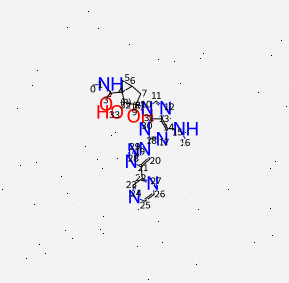 CNC(=O)C12CC1C[C@](O)(n1cnc3c(NC)nc(-n4cc(-c5cnccn5)nn4)nc31)[C@@H]2O